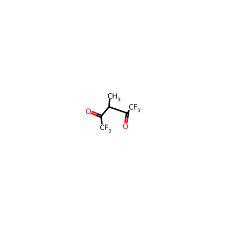 CC(C(=O)C(F)(F)F)C(=O)C(F)(F)F